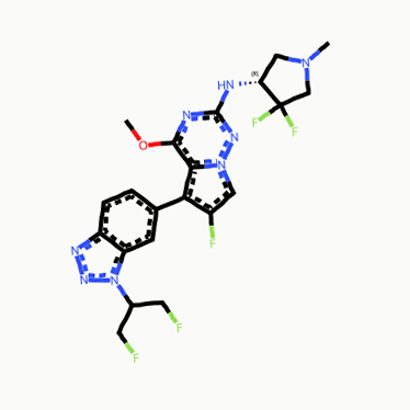 COc1nc(N[C@@H]2CN(C)CC2(F)F)nn2cc(F)c(-c3ccc4nnn(C(CF)CF)c4c3)c12